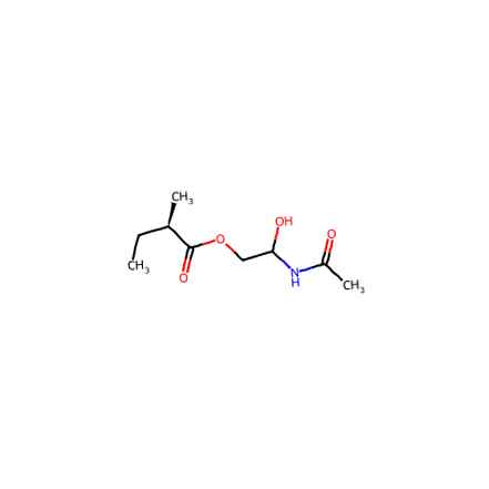 CC[C@@H](C)C(=O)OCC(O)NC(C)=O